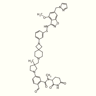 COc1cc(Cn2cccn2)cc2onc(NSc3cccc(N4CC5(CCN(CC6(C)CCN(c7ccc(C=O)c(C(=O)N(C)C8CCC(=O)NC8=O)c7)C6)CC5)C4)c3)c12